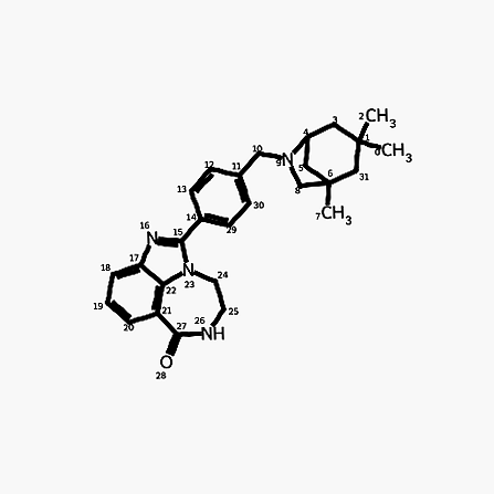 CC1(C)CC2CC(C)(CN2Cc2ccc(-c3nc4cccc5c4n3CCNC5=O)cc2)C1